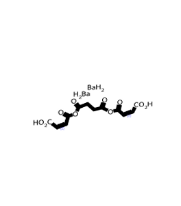 O=C(O)/C=C\C(=O)OC(=O)CCC(=O)OC(=O)/C=C\C(=O)O.[BaH2].[BaH2]